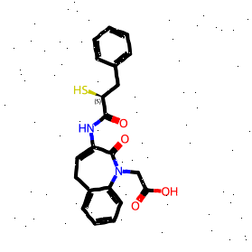 O=C(O)CN1C(=O)C(NC(=O)[C@@H](S)Cc2ccccc2)=CCc2ccccc21